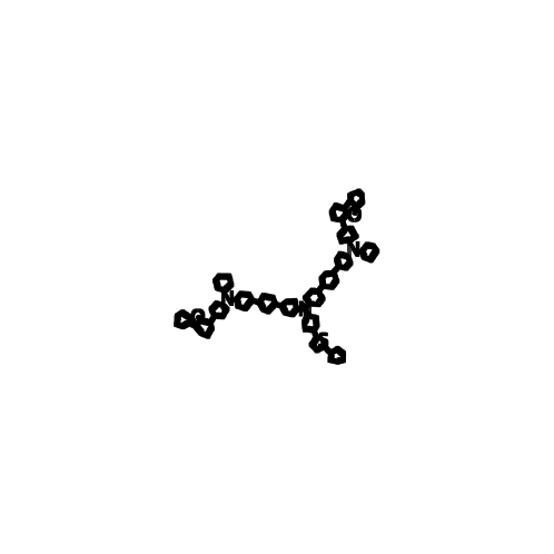 c1ccc(-c2ccc(-c3ccc(N(c4ccc(-c5ccc(-c6ccc(N(c7ccccc7)c7ccc(-c8cccc9c8oc8ccccc89)cc7)cc6)cc5)cc4)c4ccc(-c5ccc(-c6ccc(N(c7ccccc7)c7ccc(-c8cccc9c8oc8ccccc89)cc7)cc6)cc5)cc4)cc3)s2)cc1